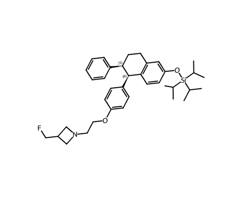 CC(C)[Si](Oc1ccc2c(c1)CC[C@H](c1ccccc1)[C@@H]2c1ccc(OCCN2CC(CF)C2)cc1)(C(C)C)C(C)C